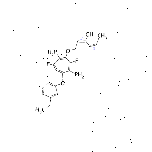 C/C=C\C(O)=C/COC1=C(P)C(F)=C=C(Oc2cccc(CC)c2)C(P)=C1F